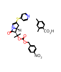 CC(C)(OC(=O)OCc1ccc([N+](=O)[O-])cc1)[C@H]1C(=O)N2C=C(Sc3ccncc3)C[C@H]12.Cc1ccc(C(=O)O)c(C)c1